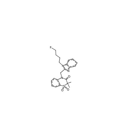 CC1(C)C(=O)N(Cc2nc3ccccc3n2CCCCF)c2ccccc2S1(=O)=O